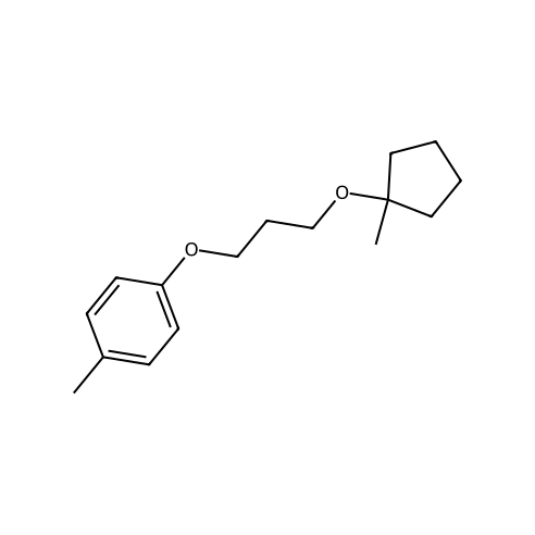 Cc1ccc(OCCCOC2(C)CCCC2)cc1